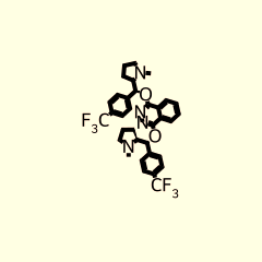 CN1CCCC1[C@@H](Oc1nnc(O[C@@H](c2ccc(C(F)(F)F)cc2)[C@@H]2CCCN2C)c2ccccc12)c1ccc(C(F)(F)F)cc1